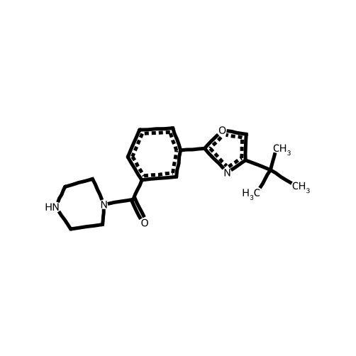 CC(C)(C)c1coc(-c2cccc(C(=O)N3CCNCC3)c2)n1